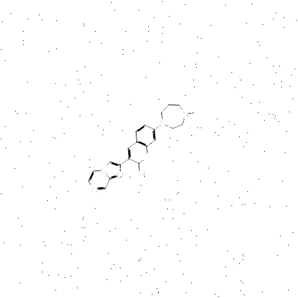 CN1CCCN(c2ccc3c(c2)OC(O)C(c2cn4ccncc4n2)=C3)CC1